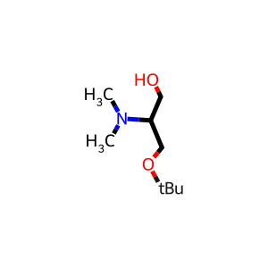 CN(C)C(CO)COC(C)(C)C